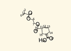 C=C(C)C(=O)OCCOC(=O)C1C=CCC(C(=O)O)C1